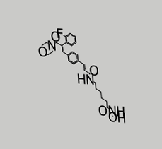 O=C(/C=C/c1ccc(/C=C(/C(=O)N2CCOCC2)c2ccccc2F)cc1)NCCCCCC(=O)NO